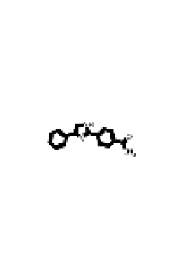 CC(=O)c1ccc(-c2nc(-c3ccccc3)c[nH]2)cc1